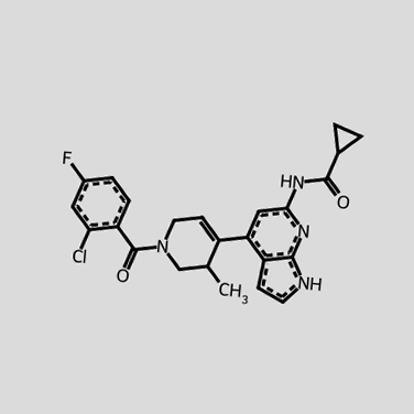 CC1CN(C(=O)c2ccc(F)cc2Cl)CC=C1c1cc(NC(=O)C2CC2)nc2[nH]ccc12